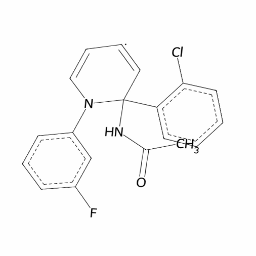 CC(=O)NC1(c2ccccc2Cl)C=[C]C=CN1c1cccc(F)c1